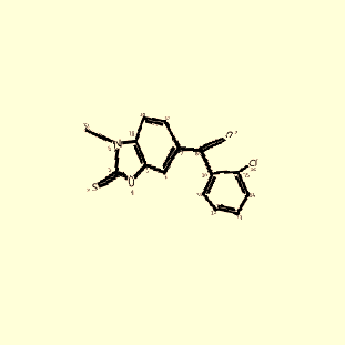 Cn1c(=S)oc2cc(C(=O)c3ccccc3Cl)ccc21